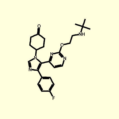 CC(C)(C)NCCOc1nccc(-c2c(-c3ccc(F)cc3)ncn2C2CCC(=O)CC2)n1